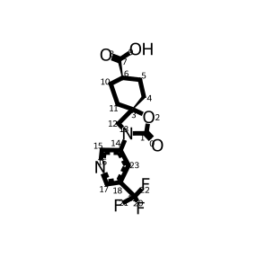 O=C1O[C@]2(CC[C@H](C(=O)O)CC2)CN1c1cncc(C(F)(F)F)c1